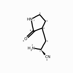 N#C[C@@H](N)CC1CCNC1=O